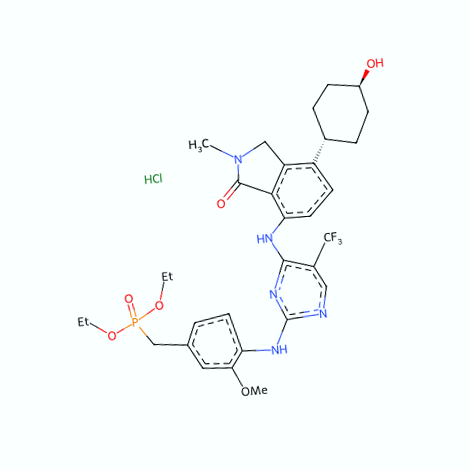 CCOP(=O)(Cc1ccc(Nc2ncc(C(F)(F)F)c(Nc3ccc([C@H]4CC[C@H](O)CC4)c4c3C(=O)N(C)C4)n2)c(OC)c1)OCC.Cl